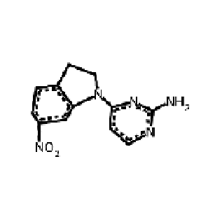 Nc1nccc(N2CCc3ccc([N+](=O)[O-])cc32)n1